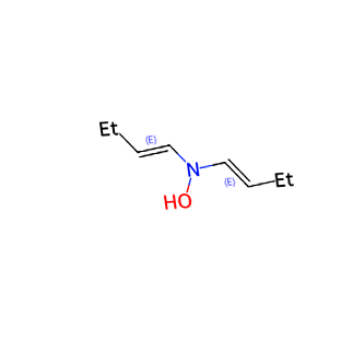 CC/C=C/N(O)/C=C/CC